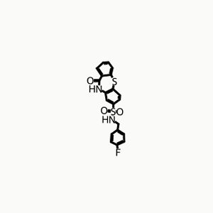 O=C1Nc2cc(S(=O)(=O)NCc3ccc(F)cc3)ccc2Sc2ccccc21